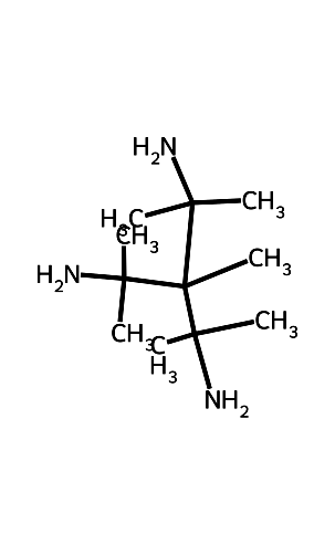 CC(C)(N)C(C)(C(C)(C)N)C(C)(C)N